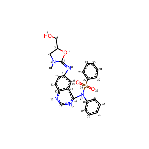 CN1CC(CO)OC1=Nc1ccc2ncnc(N(c3ccccc3)S(=O)(=O)c3ccccc3)c2c1